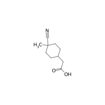 CC1(C#N)CCC(CC(=O)O)CC1